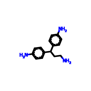 NCCC(c1ccc(N)cc1)c1ccc(N)cc1